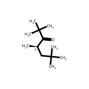 C[C@H](CC(C)(C)C)C(=O)C(C)(C)C